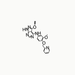 C#COc1n[nH]c2ncnc(Nc3ccc(OCc4ccccn4)c(OC)c3)c12